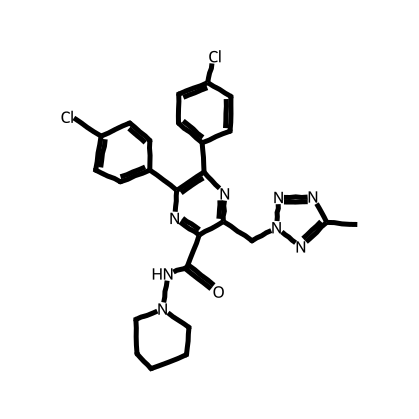 Cc1nnn(Cc2nc(-c3ccc(Cl)cc3)c(-c3ccc(Cl)cc3)nc2C(=O)NN2CCCCC2)n1